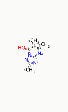 Cc1nc2nc(C)c(C)c(O)n2n1